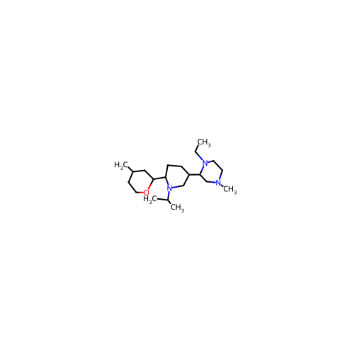 CCN1CCN(C)CC1C1CCC(C2CC(C)CCO2)N(C(C)C)C1